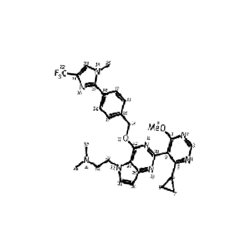 COc1ncnc(C2CC2)c1-c1nc(OCc2ccc(-c3nc(C(F)(F)F)cn3C)cc2)c2c(ccn2CCN(C)C)n1